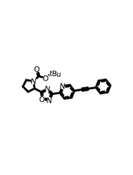 CC(C)(C)OC(=O)N1CCCC1c1nc(-c2ccc(C#Cc3ccccc3)cn2)no1